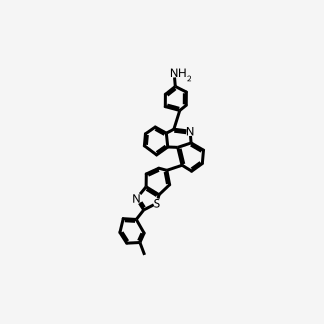 Cc1cccc(-c2nc3ccc(-c4cccc5nc(-c6ccc(N)cc6)c6ccccc6c45)cc3s2)c1